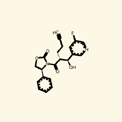 C#CCC[C@@H](C(=O)N1C(=O)OC[C@@H]1c1ccccc1)[C@H](O)c1cncc(F)c1